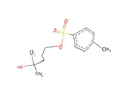 Cc1ccc(S(=O)(=O)OCCC(C)(O)C(F)(F)F)cc1